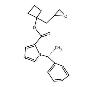 C[C@H](c1ccccc1)n1cncc1C(=O)OC1(CC2CO2)CCC1